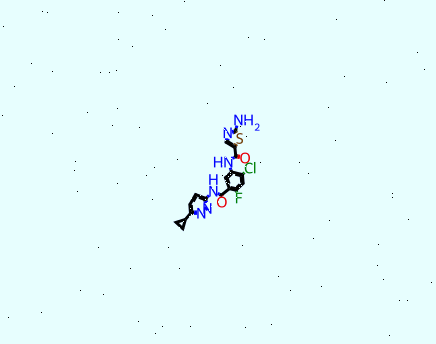 Nc1ncc(C(=O)Nc2cc(C(=O)Nc3ccc(C4CC4)nn3)c(F)cc2Cl)s1